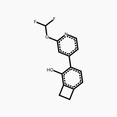 Oc1c(-c2ccnc(OC(F)F)c2)ccc2c1CC2